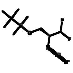 CC(C)(C)[Si](C)(C)OC[C@H](N=[N+]=[N-])C(F)F